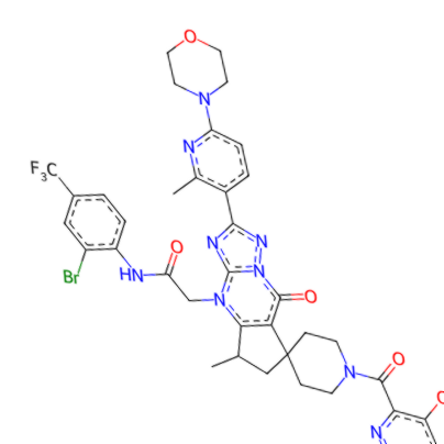 Cc1nc(N2CCOCC2)ccc1-c1nc2n(CC(=O)Nc3ccc(C(F)(F)F)cc3Br)c3c(c(=O)n2n1)C1(CCN(C(=O)c2ncnc(C)c2O)CC1)CC3C